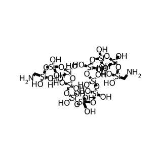 NC[Si](O)(O)O[Si](O)(O)O[Si](O)(O)O[Si](O)(O)O[Si](O)(O)O[Si](O)(O)O[Si](O)(O)O[Si](O)(O)O[Si](O)(O)O[Si](O)(O)O[Si](O)(O)O[Si](O)(O)CN